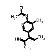 C/C=C(/C(C)=N)c1cnc(/N=C(\C)Cl)c(C)c1